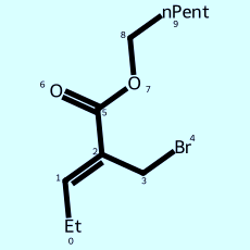 CC/C=C(\CBr)C(=O)OCCCCCC